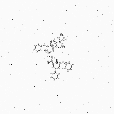 CC(C)C[C@@H](NC(=O)[C@H](Cc1ccccc1)NC(=O)CNC(=O)[C@H](CCc1ccccc1)NC(=O)CN1CCOCC1)C(=O)C(C)(O)CO